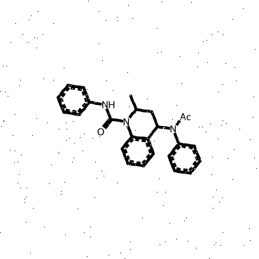 CC(=O)N(c1ccccc1)C1CC(C)N(C(=O)Nc2ccccc2)c2ccccc21